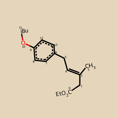 CCOC(=O)C/C(C)=C/Cc1ccc(OC(C)CC)cc1